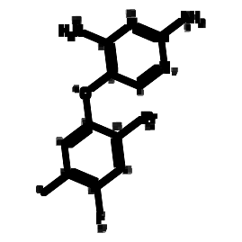 Cc1cc(Oc2cnc(N)nc2N)c(C(C)C)cc1F